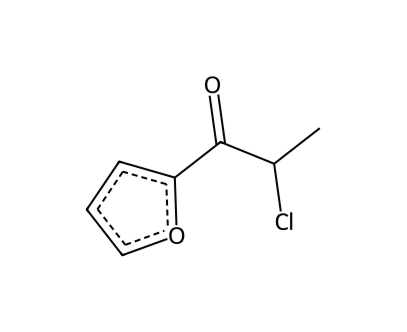 CC(Cl)C(=O)c1ccco1